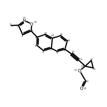 Cc1cc(-c2ccc3cc(C#CC4(OC=O)CC4)ccc3c2)on1